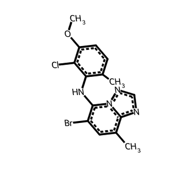 COc1ccc(C)c(Nc2c(Br)cc(C)c3ncnn23)c1Cl